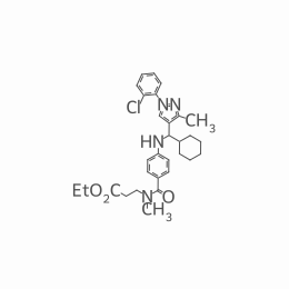 CCOC(=O)CCN(C)C(=O)c1ccc(NC(c2cn(-c3ccccc3Cl)nc2C)C2CCCCC2)cc1